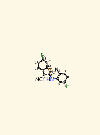 N#Cc1c(Nc2cc(F)ccc2[N+](=O)[O-])sc2cc(F)ccc12